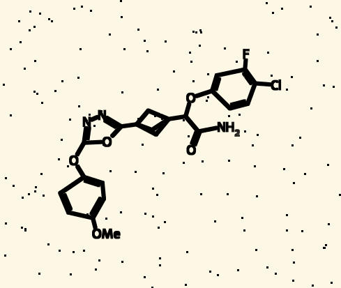 COc1ccc(Oc2nnc(C34CC(C(Oc5ccc(Cl)c(F)c5)C(N)=O)(C3)C4)o2)cc1